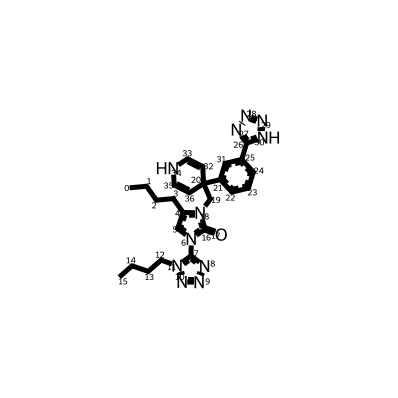 CCCCc1cn(-c2nnnn2CCCC)c(=O)n1CC1(c2cccc(-c3nnn[nH]3)c2)C=CNC=C1